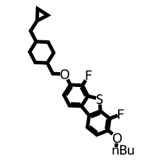 CCCCOc1ccc2c(sc3c(F)c(OCC4CCC(CC5CC5)CC4)ccc32)c1F